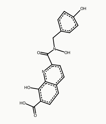 O=C(O)c1ccc2ccc(C(=O)N(O)Cc3ccc(O)cc3)nc2c1O